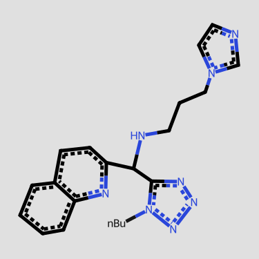 CCCCn1nnnc1C(NCCCn1ccnc1)c1ccc2ccccc2n1